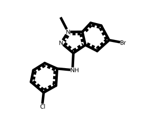 Cn1nc(Nc2cccc(Cl)c2)c2cc(Br)ccc21